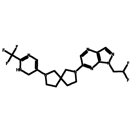 FC(F)Cn1ncc2ncc(N3CCC4(CCN(C5=CN=C(C(F)(F)F)NC5)C4)C3)nc21